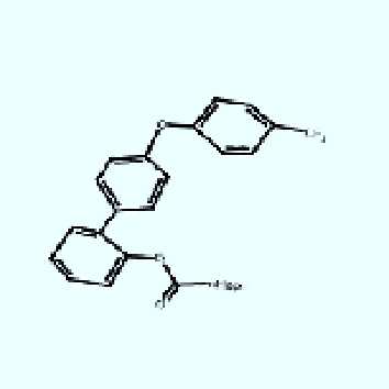 CCCCCCCC(=O)Oc1ccccc1-c1ccc(Oc2ccc(C(F)(F)F)cc2)cc1